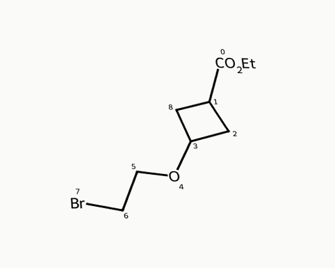 CCOC(=O)C1CC(OCCBr)C1